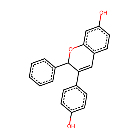 Oc1ccc(C2=Cc3ccc(O)cc3OC2c2ccccc2)cc1